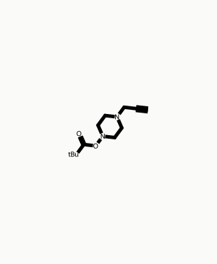 C#CCN1CCN(OC(=O)C(C)(C)C)CC1